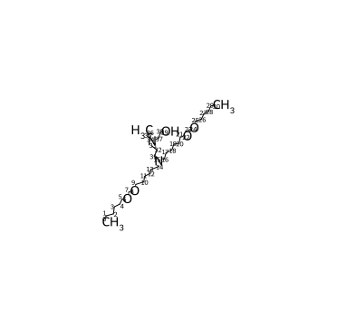 CCCCCCOCOCCCCCCN(CCCCCCOCOCCCCCC)CCCN(CC)CCO